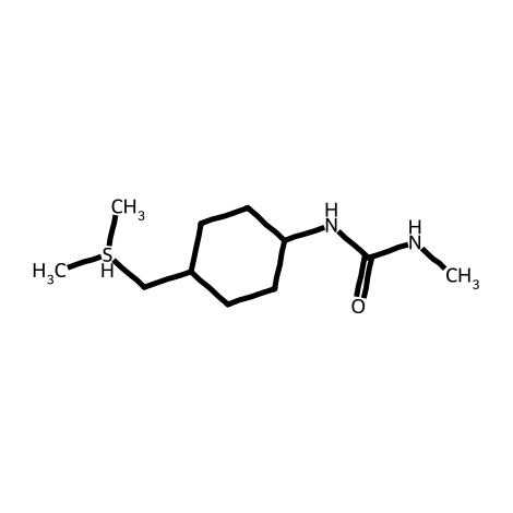 CNC(=O)NC1CCC(C[SH](C)C)CC1